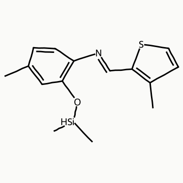 Cc1ccc(N=Cc2sccc2C)c(O[SiH](C)C)c1